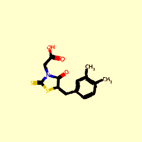 Cc1ccc(CC2SC(=S)N(CC(=O)O)C2=O)cc1C